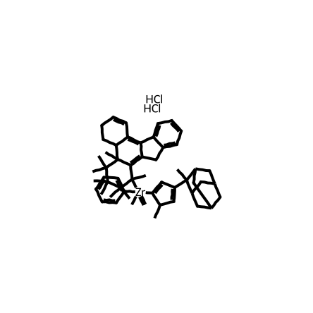 Cl.Cl.[CH2]=[Zr]([CH3])([C]1=CC(C2(C)C3CC4CC(C3)CC2C4)=CC1C)([c]1ccccc1)[C]1(C)C2=C3Cc4ccccc4C3=C3C=CCCC3C2(C)C(C)(C)C(C)(C)C1(C)C